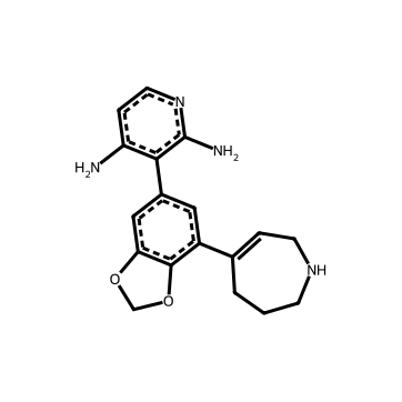 Nc1ccnc(N)c1-c1cc2c(c(C3=CCNCCC3)c1)OCO2